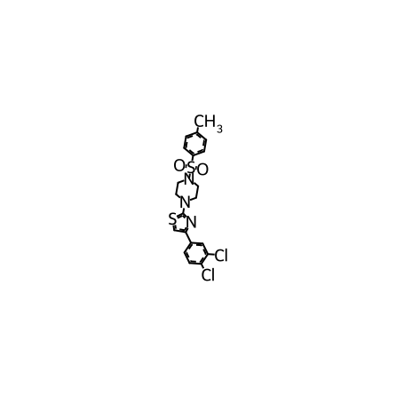 Cc1ccc(S(=O)(=O)N2CCN(c3nc(-c4ccc(Cl)c(Cl)c4)cs3)CC2)cc1